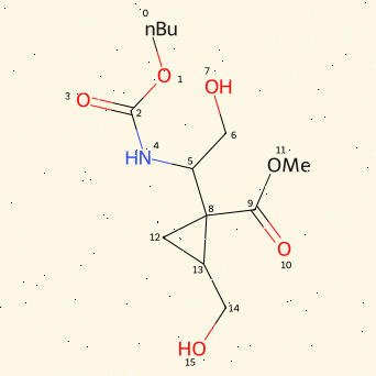 CCCCOC(=O)NC(CO)C1(C(=O)OC)CC1CO